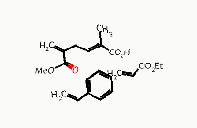 C=C(CC=C(C)C(=O)O)C(=O)OC.C=CC(=O)OCC.C=Cc1ccccc1